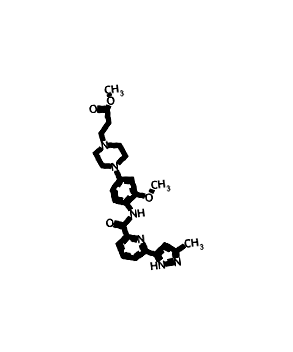 COC(=O)CCN1CCN(c2ccc(NC(=O)c3cccc(-c4cc(C)n[nH]4)n3)c(OC)c2)CC1